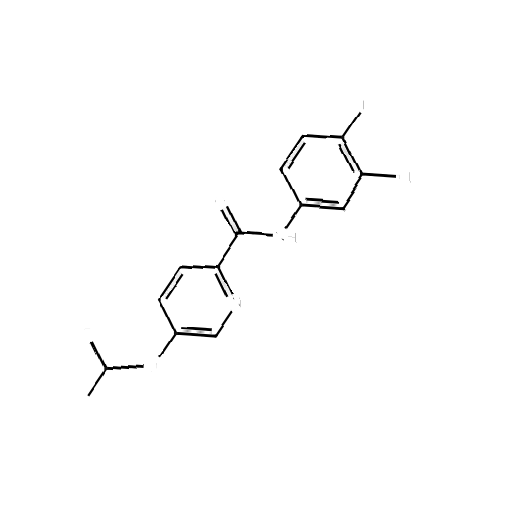 Cc1cc(NC(=O)c2ccc(OC(F)F)cn2)ccc1F